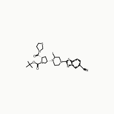 CC(C)(C)OC(=O)N1C[C@@H](N2CCN(c3nc4cc(C#N)ccc4s3)CC2I)C[C@H]1C(=O)N1CCSC1